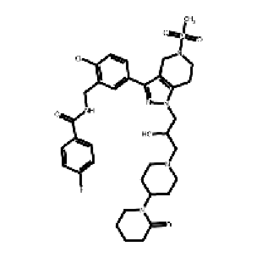 CS(=O)(=O)N1CCc2c(c(-c3ccc(Cl)c(CNC(=O)c4ccc(F)cc4)c3)nn2CC(O)CN2CCC(N3CCCCC3=O)CC2)C1